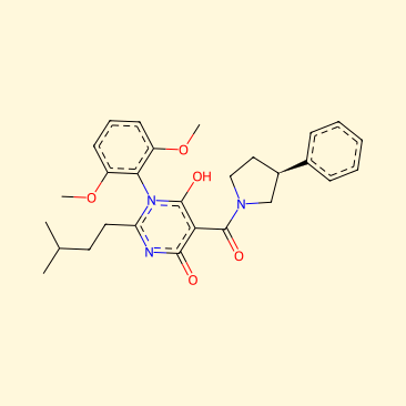 COc1cccc(OC)c1-n1c(CCC(C)C)nc(=O)c(C(=O)N2CC[C@@H](c3ccccc3)C2)c1O